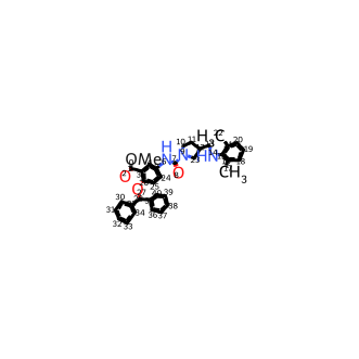 COC(=O)c1cc(NC(=O)N2CCC(CNc3c(C)cccc3C)C2)ccc1OC(c1ccccc1)c1ccccc1